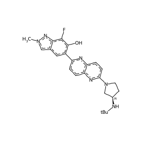 Cn1cc2cc(-c3ccc4nc(N5CC[C@@H](NC(C)(C)C)C5)ccc4n3)c(O)c(F)c2n1